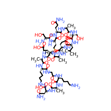 CSCC[C@H](NC(=O)[C@@H](N)CO)C(=O)N[C@@H](CCC(N)=O)C(=O)N[C@@H](C)C(=O)N[C@@H](CO)C(=O)N[C@@H](CC(C)C)C(=O)N[C@@H](CCC(=O)O)C(=O)N[C@@H](C)C(=O)N[C@@H](CCC(=O)O)C(=O)N[C@@H](C)C(=O)N[C@@H](CCCCN)C(=O)NCC(=O)N[C@@H](CCCCN)C(=O)N[C@@H](C)C(=O)N[C@@H](CC(N)=O)C(=O)O